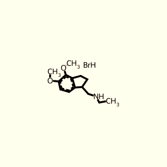 Br.CCNCC1CCc2c1ccc(OC)c2OC